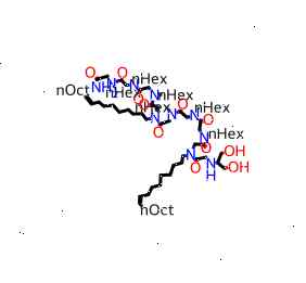 CCCCCCCC/C=C\CCCCCCCCN(CC(=O)N(CCCCCC)CC(=O)N(CCCCCC)CC(=O)N(CCCCCC)CC(=O)N(CCCCCCCC/C=C\CCCCCCCC)CC(=O)N(CCCCCC)CC(=O)N(CCCCCC)CC(=O)N(CCCCCC)CC(N)=O)C(=O)CNC(CO)CO